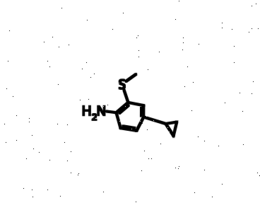 CSc1cc(C2CC2)ccc1N